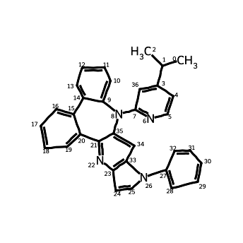 CC(C)c1ccnc(N2c3ccccc3-c3ccccc3-c3nc4ccn(-c5ccccc5)c4cc32)c1